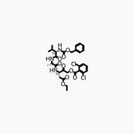 CCOC(=O)C[C@H](NC(=O)[C@H](C)NC(=O)[C@@H](NC(=O)OCc1ccccc1)C(C)C)C(=O)COC(=O)c1c(Cl)cccc1Cl